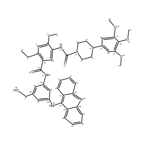 CCc1nc(OC)c(NC(=O)N2CCN(c3cc(OC)c(OC)c(OC)c3)CC2)cc1C(=O)Nc1cc(CO)cc(Nc2c3ccccc3nc3ccccc23)c1